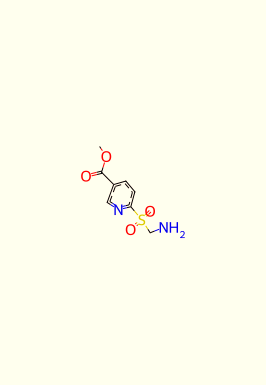 COC(=O)c1ccc(S(=O)(=O)CN)nc1